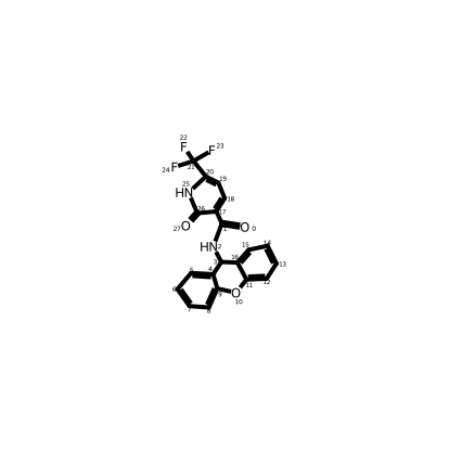 O=C(NC1c2ccccc2Oc2ccccc21)c1ccc(C(F)(F)F)[nH]c1=O